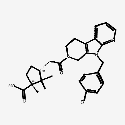 CC1(C)[C@@H](CC(=O)N2CCc3c(n(Cc4ccc(Cl)cc4)c4ncccc34)C2)CC[C@@]1(C)C(=O)O